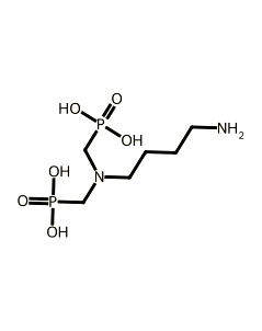 NCCCCN(CP(=O)(O)O)CP(=O)(O)O